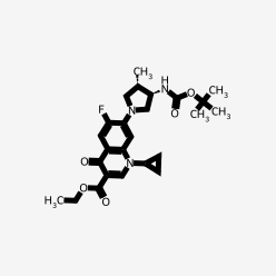 CCOC(=O)c1cn(C2CC2)c2cc(N3C[C@H](C)[C@H](NC(=O)OC(C)(C)C)C3)c(F)cc2c1=O